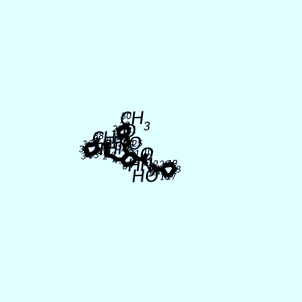 CCCN(CCCc1ccc(C(=O)NC[C@H](O)c2ccccc2)cc1NC(=O)c1ccc(C)o1)c1ccccc1C